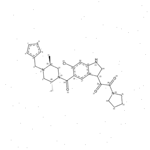 C[C@@H]1CN(Cc2ccsc2)[C@@H](C)CN1C(=O)c1cc2c(cc1Cl)NCC2C(=O)C(=O)N1CCCC1